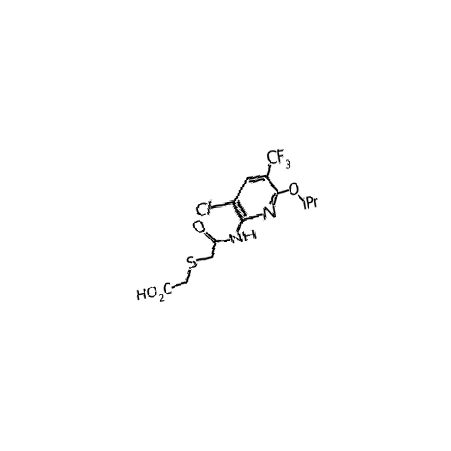 CC(C)Oc1nc(NC(=O)CSCC(=O)O)c(Cl)cc1C(F)(F)F